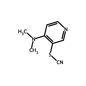 CN(C)c1ccncc1SC#N